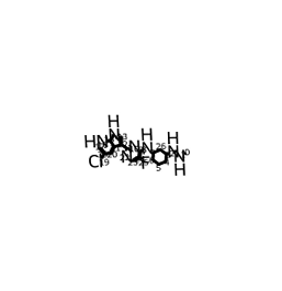 CNNC1CCCC(Nc2nc(C3=CNC4NC=C(Cl)C=C34)ncc2F)C1